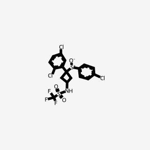 O=S(=O)(NC1CC(c2cc(Cl)ccc2Cl)([S+]([O-])c2ccc(Cl)cc2)C1)C(F)(F)F